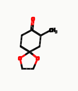 CC1CC2(CCC1=O)OCCO2